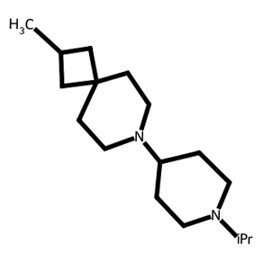 CC1CC2(CCN(C3CCN(C(C)C)CC3)CC2)C1